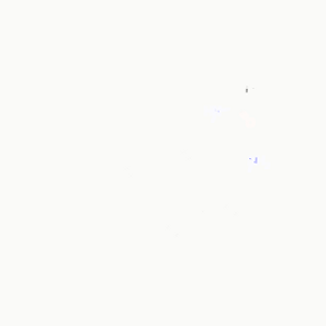 CC(C)C(=O)Nc1cccc(-c2ccc(C(=O)O)cc2)c1.Nc1cccc(-c2ccc(C(=O)O)cc2)c1